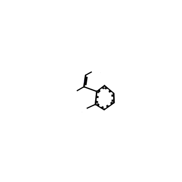 C/C=C(/C)c1ccccc1C